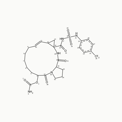 NC(=O)OC1CCCCC/C=C/C2CC2(C(=O)NS(=O)(=O)Nc2ccc(C(F)(F)F)cc2)NC(=O)C2CCCN2C1=O